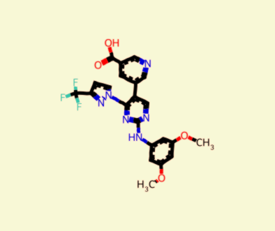 COc1cc(Nc2ncc(-c3cncc(C(=O)O)c3)c(-n3ccc(C(F)(F)F)n3)n2)cc(OC)c1